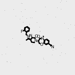 Cc1c2c(nn1Cc1ccccc1F)C(=O)N([C@H]1COc3cc(C#N)ccc3N(C)C1=O)CC2